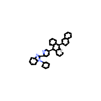 c1ccc(-n2c(-c3ccc(-c4c5ccccc5c(-c5ccc6ccccc6c5)c5ccccc45)cn3)nc3ccccc32)cc1